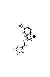 COc1ccc2[nH]cc(CCN3CCCC3)c2c1